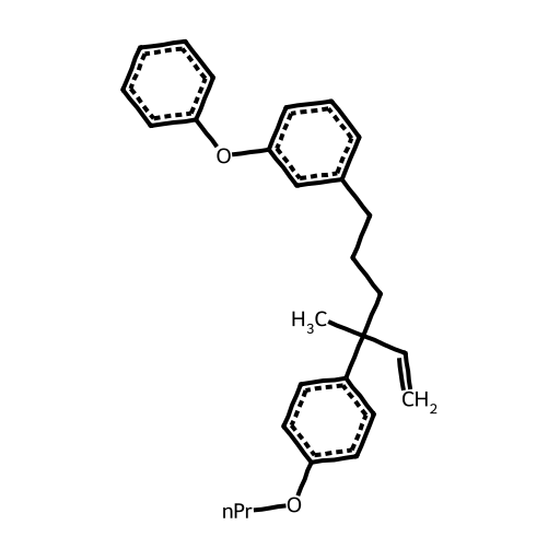 C=CC(C)(CCCc1cccc(Oc2ccccc2)c1)c1ccc(OCCC)cc1